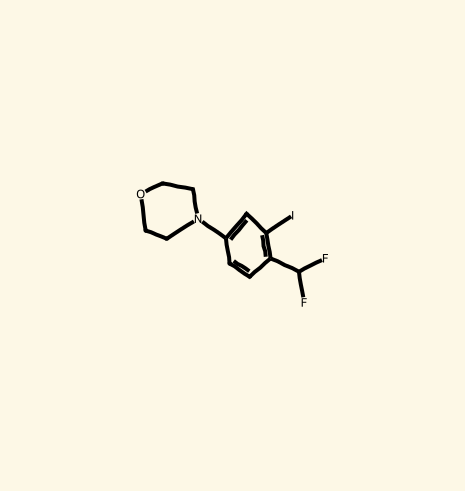 FC(F)c1ccc(N2CCOCC2)cc1I